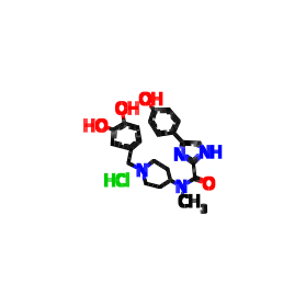 CN(C(=O)c1nc(-c2ccc(O)cc2)c[nH]1)C1CCN(Cc2ccc(O)c(O)c2)CC1.Cl